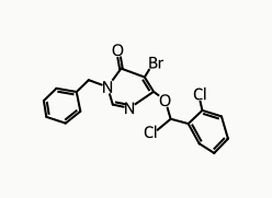 O=c1c(Br)c(OC(Cl)c2ccccc2Cl)ncn1Cc1ccccc1